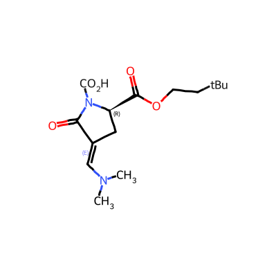 CN(C)/C=C1\C[C@H](C(=O)OCCC(C)(C)C)N(C(=O)O)C1=O